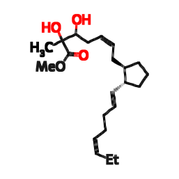 CC/C=C\CC/C=C/[C@H]1CCC[C@@H]1C/C=C\CC(O)C(C)(O)C(=O)OC